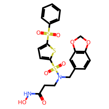 O=C(CCN(Cc1ccc2c(c1)OCO2)S(=O)(=O)c1ccc(S(=O)(=O)c2ccccc2)s1)NO